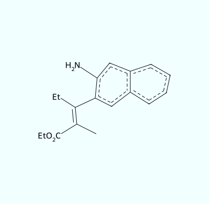 CCOC(=O)C(C)=C(CC)c1cc2ccccc2cc1N